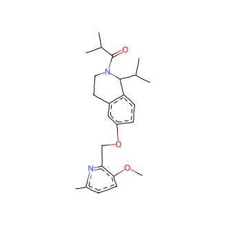 COc1ccc(C)nc1COc1ccc2c(c1)CCN(C(=O)C(C)C)C2C(C)C